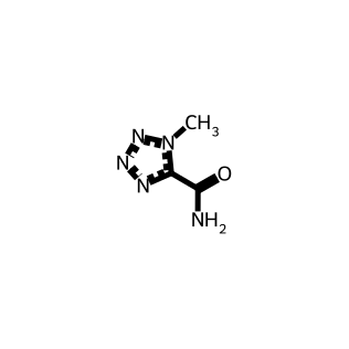 Cn1nnnc1C(N)=O